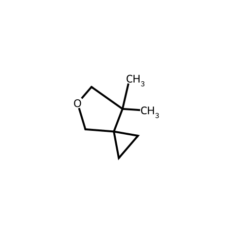 CC1(C)COCC12CC2